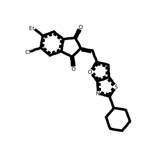 CCc1cc2c(cc1Cl)C(=O)/C(=C\c1cc3sc(C4CCCCC4)nc3o1)C2=O